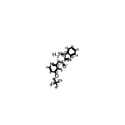 Cc1c(OCC(F)(F)F)ccnc1C[S+]([O-])c1nc2ccccc2n1N